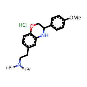 CCCN(CCC)CCc1ccc2c(c1)NC(c1ccc(OC)cc1)CO2.Cl